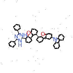 c1ccc(C2=NC(c3ccccc3)NC(c3cccc4c3oc3cccc(-c5cccc6c5oc5ccc(-n7c8ccccc8c8ccccc87)cc56)c34)N2)cc1